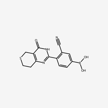 N#Cc1cc(B(O)O)ccc1-c1nc2c(c(=O)[nH]1)CSCC2